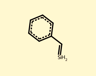 [SiH2]=Cc1ccccc1